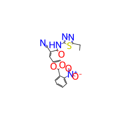 CCc1nnc(NC(=O)C(C#N)=CC2=COC(c3ccccc3[N+](=O)[O-])O2)s1